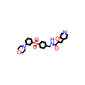 O=C(NCc1ccc(S(=O)(=O)c2cccc(N3CCOCC3)c2)cc1)c1cc2ccncc2o1